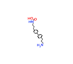 NCCCc1ccc(-c2ccc(CCCCNC(=O)O)cc2)cc1